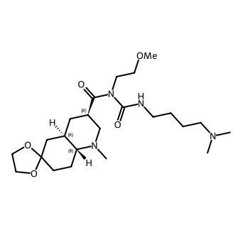 COCCN(C(=O)NCCCCN(C)C)C(=O)[C@@H]1C[C@@H]2CC3(CC[C@H]2N(C)C1)OCCO3